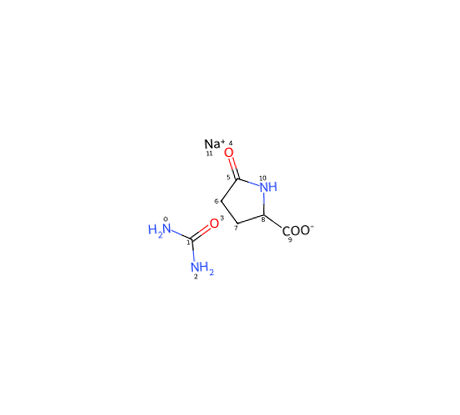 NC(N)=O.O=C1CCC(C(=O)[O-])N1.[Na+]